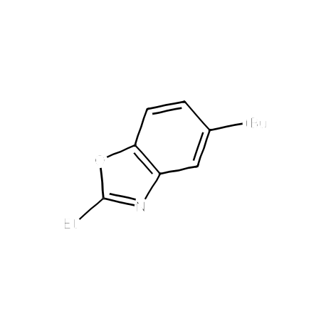 CCc1nc2cc(C(C)(C)C)ccc2o1